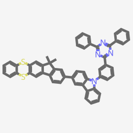 CC1(C)c2cc(-c3ccc4c(c3)c3ccccc3n4-c3cccc(-c4nc(-c5ccccc5)nc(-c5ccccc5)n4)c3)ccc2-c2cc3c(cc21)Sc1ccccc1S3